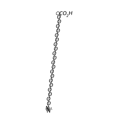 [N-]=[N+]=NCCOCCOCCOCCOCCOCCOCCOCCOCCOCCOCCOCCOCCOCCOCCOCCOCCOCCOCCOCCOCC1(C(=O)O)CCCCC1